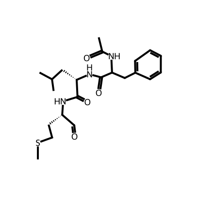 CSCC[C@@H](C=O)NC(=O)[C@H](CC(C)C)NC(=O)C(Cc1ccccc1)NC(C)=O